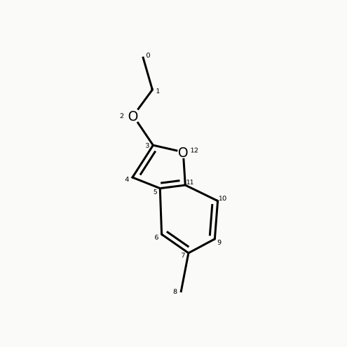 CCOc1cc2cc(C)ccc2o1